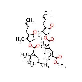 C/C=C/CC1=C(C)C(OC(=O)C2C(C=C(C)C)C2(C)C)CC1=O.C/C=C/CC1=C(C)[C@@H](OC(=O)[C@@H]2[C@@H](/C=C(\C)C(=O)OC)C2(C)C)CC1=O